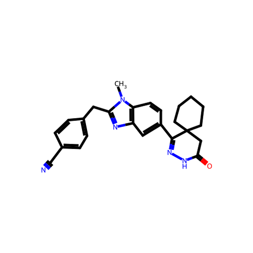 Cn1c(Cc2ccc(C#N)cc2)nc2cc(C3=NNC(=O)CC34CCCCC4)ccc21